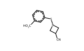 N#CC1CN(Sc2cccc(C(=O)O)c2)C1